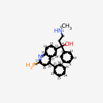 CNCCC(O)(c1ccccc1)c1ccc2nc(P)cc(-c3ccccc3)c2c1